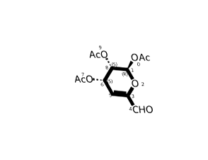 CC(=O)O[C@H]1OC(C=O)=C[C@H](OC(C)=O)[C@@H]1OC(C)=O